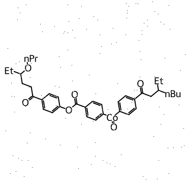 CCCCC(CC)CC(=O)c1cc[c]([Co](=[O])[c]2ccc(C(=O)Oc3ccc(C(=O)CCC(CC)OCCC)cc3)cc2)cc1